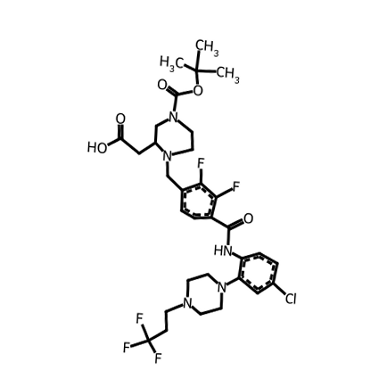 CC(C)(C)OC(=O)N1CCN(Cc2ccc(C(=O)Nc3ccc(Cl)cc3N3CCN(CCC(F)(F)F)CC3)c(F)c2F)C(CC(=O)O)C1